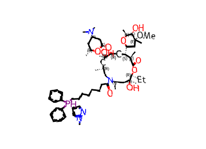 CC[C@H]1OC(=O)[C@H](C)[C@@H](C2C[C@@](C)(OC)[C@@H](O)[C@H](C)O2)C[C@@H](O[C@H]2C[C@@H](N(C)C)C[C@@H](C)O2)[C@](C)(O)C[C@@H](C)CN(C(=O)CCCCCCC[PH](c2ccccc2)(c2ccccc2)c2cnn(C)c2)[C@H](C)C[C@]1(C)O